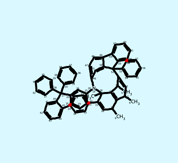 CC1C=C2C(C)C3=C1C(C)C=C(c1ccccc1)C3(C)N(c1ccc3c(c1)C(c1ccccc1)(c1ccccc1)c1ccccc1-3)c1ccc3c(c1)C2(c1ccccc1)c1ccccc1-3